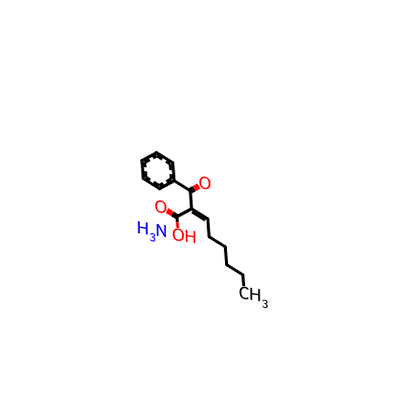 CCCCCC=C(C(=O)O)C(=O)c1ccccc1.N